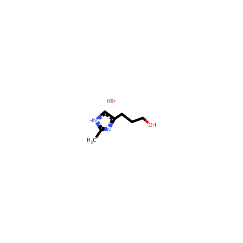 Br.Cc1nc(CCCO)c[nH]1